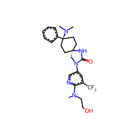 CN(CCO)c1ncc(N2C[C@]3(CC[C@](c4ccccc4)(N(C)C)CC3)NC2=O)cc1C(F)(F)F